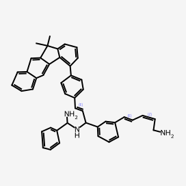 CC1(C)c2cc3ccccc3cc2-c2c(-c3ccc(/C=C/C(NC(N)c4ccccc4)c4cccc(/C=C/C=C\CN)c4)cc3)cccc21